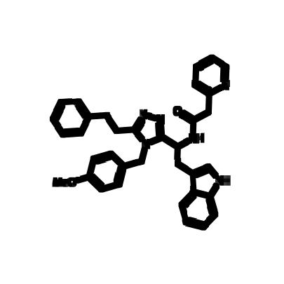 COc1ccc(Cn2c(CCc3ccccc3)nnc2C(Cc2c[nH]c3ccccc23)NC(=O)Cc2ccccn2)cc1